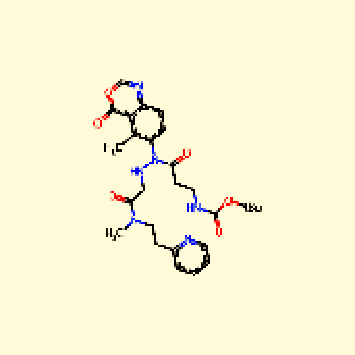 Cc1c(N(NCC(=O)N(C)CCc2ccccn2)C(=O)CCNC(=O)OC(C)(C)C)ccc2ncoc(=O)c12